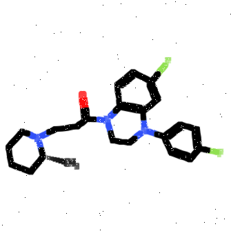 C[C@@H]1CCCCN1CCC(=O)N1CCN(c2ccc(F)cc2)c2cc(F)ccc21